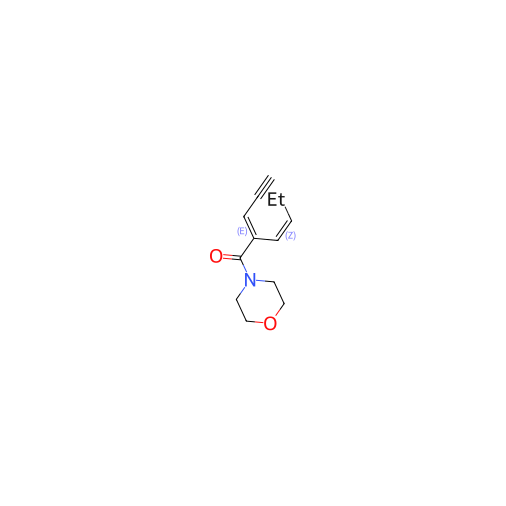 C#C/C=C(\C=C/CC)C(=O)N1CCOCC1